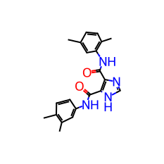 Cc1ccc(C)c(NC(=O)c2nc[nH]c2C(=O)Nc2ccc(C)c(C)c2)c1